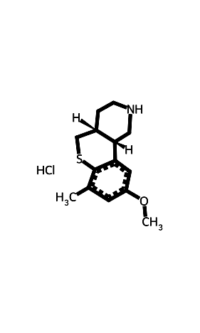 COc1cc(C)c2c(c1)[C@H]1CNCC[C@H]1CS2.Cl